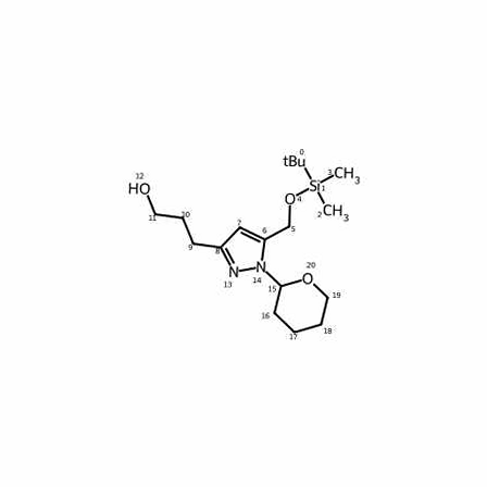 CC(C)(C)[Si](C)(C)OCc1cc(CCCO)nn1C1CCCCO1